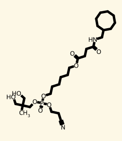 CC(CO)(CO)COP(=O)(OCCC#N)OCCCCCCOC(=O)CCC(=O)NCC1CCCCCCC1